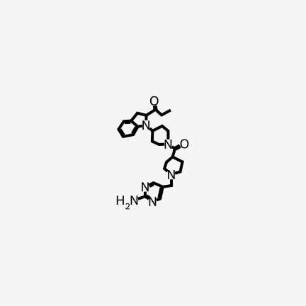 CCC(=O)C1Cc2ccccc2N1C1CCN(C(=O)C2CCN(Cc3cnc(N)nc3)CC2)CC1